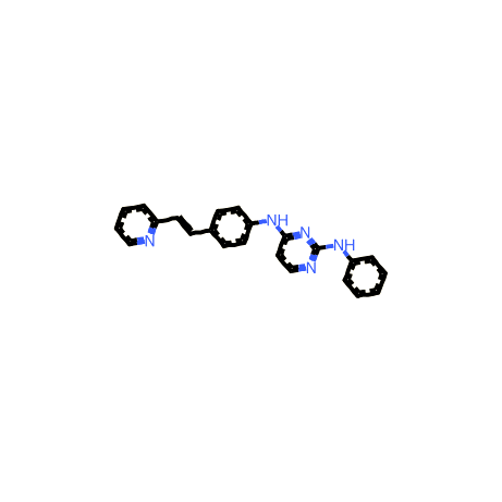 C(=Cc1ccccn1)c1ccc(Nc2ccnc(Nc3ccccc3)n2)cc1